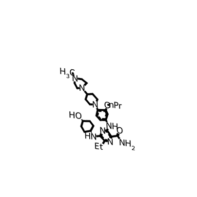 CCCOc1cc(Nc2nc(N[C@H]3CC[C@H](O)CC3)c(CC)nc2C(N)=O)ccc1N1CCC(N2CCN(C)CC2)CC1